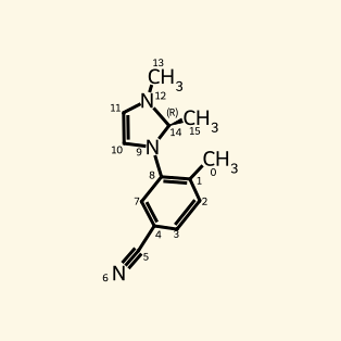 Cc1ccc(C#N)cc1N1C=CN(C)[C@H]1C